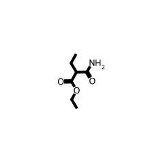 CCOC(=O)C(CC)C(N)=O